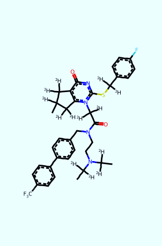 [2H]C([2H])(Sc1nc(=O)c2c(n1C([2H])([2H])C(=O)N(CCN(C([2H])([2H])C)C([2H])([2H])C)Cc1ccc(-c3ccc(C(F)(F)F)cc3)cc1)C([2H])([2H])C([2H])(C)C2([2H])[2H])c1ccc(F)cc1